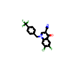 N#Cc1cn(Cc2ccc(C(F)(F)F)cc2)c2cc(Cl)c(F)cc2c1=O